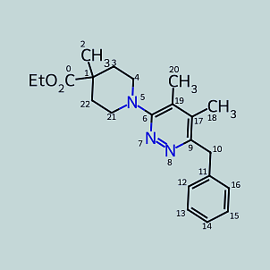 CCOC(=O)C1(C)CCN(c2nnc(Cc3ccccc3)c(C)c2C)CC1